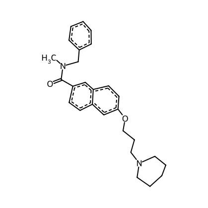 CN(Cc1ccccc1)C(=O)c1ccc2cc(OCCCN3CCCCC3)ccc2c1